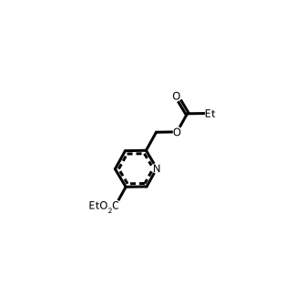 CCOC(=O)c1ccc(COC(=O)CC)nc1